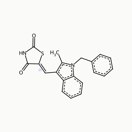 Cc1c(/C=C2\SC(=O)NC2=O)c2ccccc2n1Cc1ccccc1